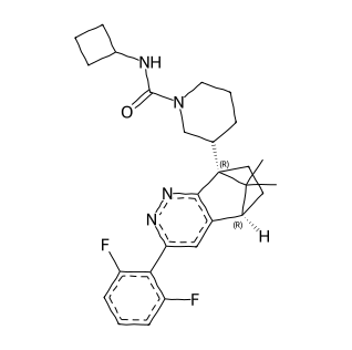 CC1(C)[C@H]2CC[C@]1(C1CCCN(C(=O)NC3CCC3)C1)c1nnc(-c3c(F)cccc3F)cc12